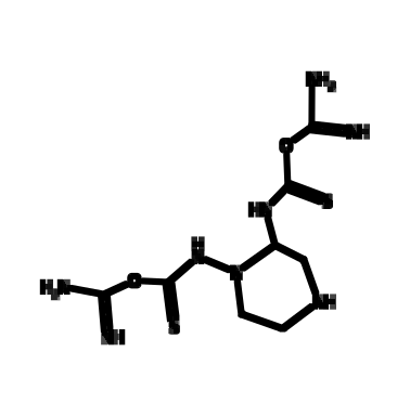 N=C(N)OC(=S)NC1CNCCN1NC(=S)OC(=N)N